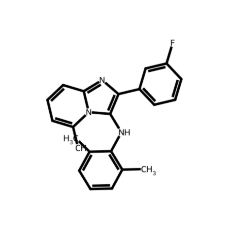 Cc1cccc(C)c1Nc1c(-c2cccc(F)c2)nc2cccc(C)n12